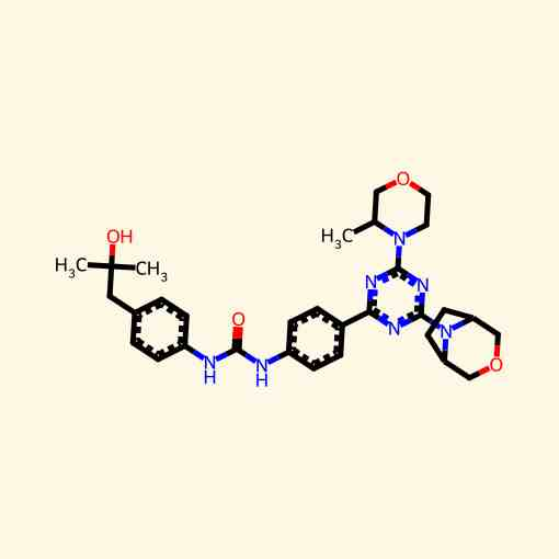 CC1COCCN1c1nc(-c2ccc(NC(=O)Nc3ccc(CC(C)(C)O)cc3)cc2)nc(N2C3CCC2COC3)n1